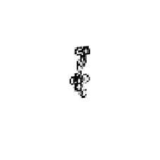 COc1ccc2c(c1)C(=O)N(CCN1CCN(c3ccccc3OC)CC1)CO2